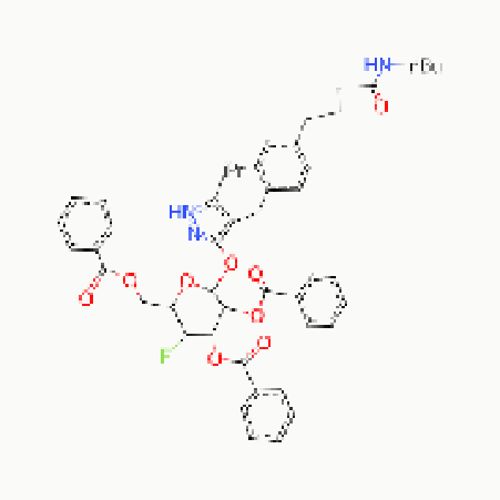 CCCCNC(=O)CCCc1ccc(Cc2c(OC3OC(COC(=O)c4ccccc4)C(F)C(OC(=O)c4ccccc4)C3OC(=O)c3ccccc3)n[nH]c2C(C)C)cc1